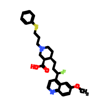 COc1ccc2nccc([C@H](F)CC[C@@H]3CCN(CCCSc4ccccc4)C[C@@H]3C(=O)O)c2c1